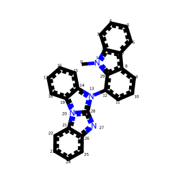 Cn1c2ccccc2c2cccc(-n3c4ccccc4n4c5ccccc5nc34)c21